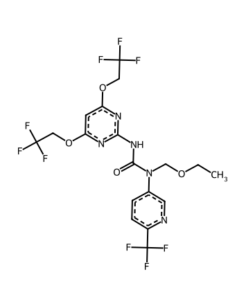 CCOCN(C(=O)Nc1nc(OCC(F)(F)F)cc(OCC(F)(F)F)n1)c1ccc(C(F)(F)F)nc1